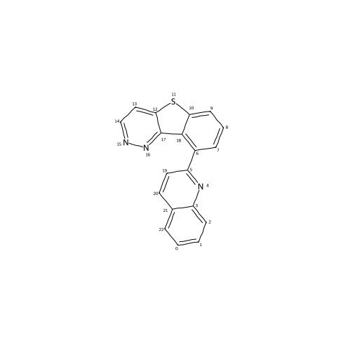 c1ccc2nc(-c3cccc4sc5ccnnc5c34)ccc2c1